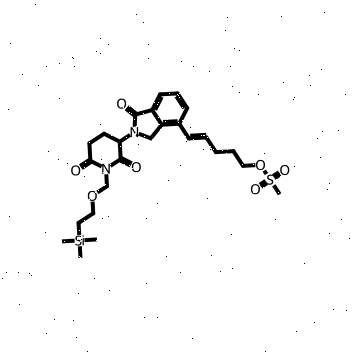 C[Si](C)(C)CCOCN1C(=O)CCC(N2Cc3c(/C=C/CCCOS(C)(=O)=O)cccc3C2=O)C1=O